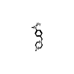 CC(C)N(C)c1ccc(CN2CCN(C)CC2)cc1